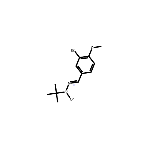 COc1ccc(/C=N/[S+]([O-])C(C)(C)C)cc1Br